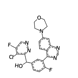 OC(c1ccc(F)c(-c2ncnc3cc(N4CCOCC4)ccc23)c1)c1nncc(F)c1Cl